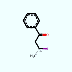 C[C@@H](I)CC(=O)c1ccccc1